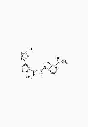 Cc1nsc(-c2ccc(C)c(NCC(=O)N3CCc4c3ccnc4C(C)O)c2)n1